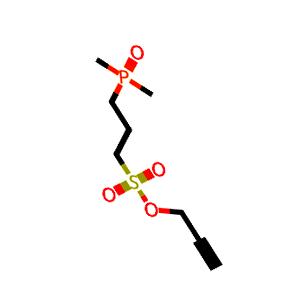 C#CCOS(=O)(=O)CCCP(C)(C)=O